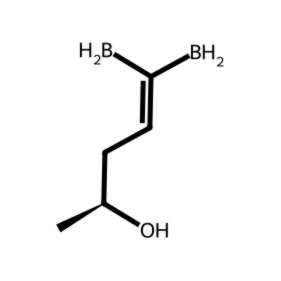 BC(B)=CC[C@H](C)O